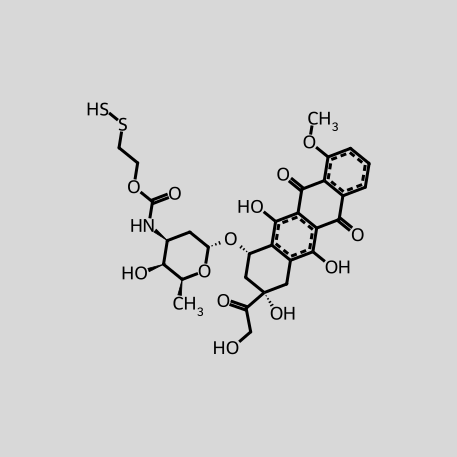 COc1cccc2c1C(=O)c1c(O)c3c(c(O)c1C2=O)C[C@@](O)(C(=O)CO)C[C@@H]3O[C@H]1C[C@H](NC(=O)OCCSS)[C@H](O)[C@H](C)O1